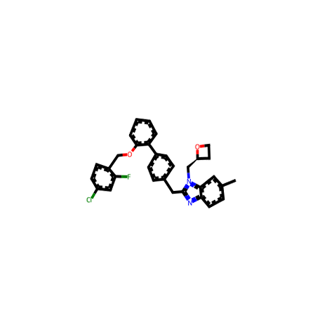 Cc1ccc2nc(Cc3ccc(-c4ccccc4OCc4ccc(Cl)cc4F)cc3)n(C[C@@H]3CCO3)c2c1